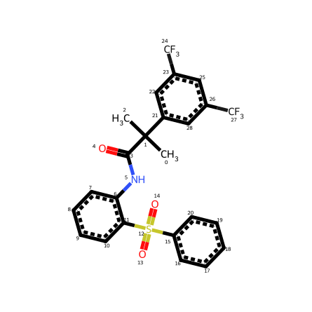 CC(C)(C(=O)Nc1ccccc1S(=O)(=O)c1ccccc1)c1cc(C(F)(F)F)cc(C(F)(F)F)c1